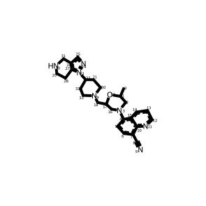 CC1CN(c2ccc(C#N)c3ncccc23)CC(CN2CCC(n3ncc4c3CCNC4)CC2)O1